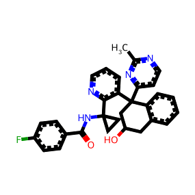 Cc1nccc(C2(c3cccnc3C3(NC(=O)c4ccc(F)cc4)CC3)CC(O)Cc3ccccc32)n1